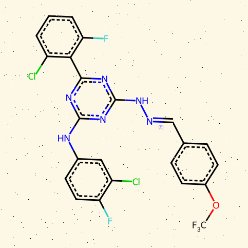 Fc1ccc(Nc2nc(N/N=C/c3ccc(OC(F)(F)F)cc3)nc(-c3c(F)cccc3Cl)n2)cc1Cl